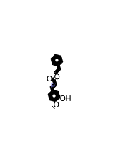 COc1ccc(/C=C/C(=O)OCCc2ccccc2)cc1O